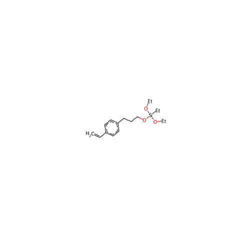 C=Cc1ccc(CCCO[Si](CC)(OCC)OCC)cc1